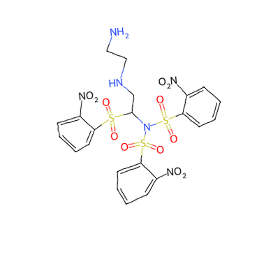 NCCNCC(N(S(=O)(=O)c1ccccc1[N+](=O)[O-])S(=O)(=O)c1ccccc1[N+](=O)[O-])S(=O)(=O)c1ccccc1[N+](=O)[O-]